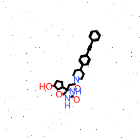 O=C1NC(=O)C(CC(=O)N2CCC(c3ccc(C#Cc4ccccc4)cc3)CC2)(C2CCC(O)C2)N1